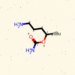 CC(C)(C)C(CCCN)OC(N)=O